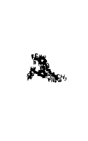 CC(C)(CC1CN(S(=O)(=O)c2cccc(C(F)(F)F)c2)c2cc(-c3cccc(C(F)(F)F)n3)ccc2O1)C(=O)O